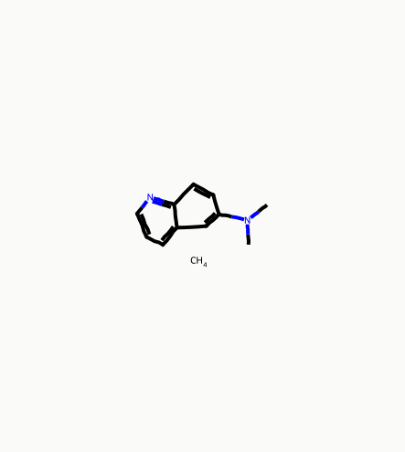 C.CN(C)c1ccc2ncccc2c1